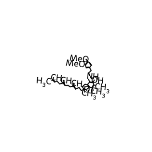 COc1ccc(CCNCc2c(O)c(C)c(C)c3c2CC[C@@](C)(CC/C=C(\C)CC/C=C(\C)CCC=C(C)C)O3)cc1OC